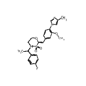 COc1cc(/C=C2\OCCN(C(C)c3ccc(F)cc3)S2(=O)=O)ccc1-n1cnc(C)c1